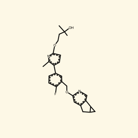 Cc1nc(OCCC(C)(C)O)ccc1-c1ccc(F)c(COc2cc3c(cn2)C2CC2C3)c1